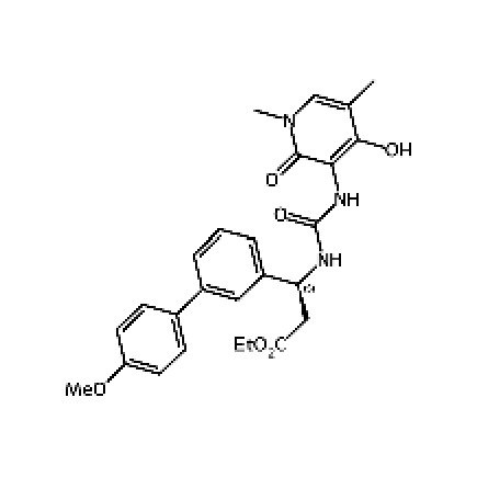 CCOC(=O)C[C@H](NC(=O)Nc1c(O)c(C)cn(C)c1=O)c1cccc(-c2ccc(OC)cc2)c1